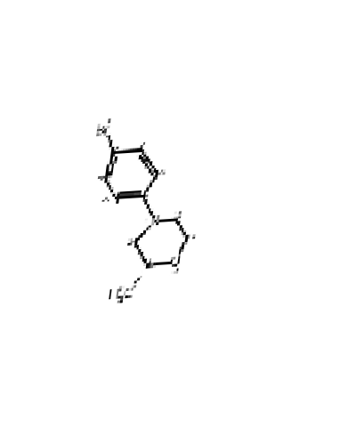 C[C@@H]1CN(c2ccc(Br)cn2)CCO1